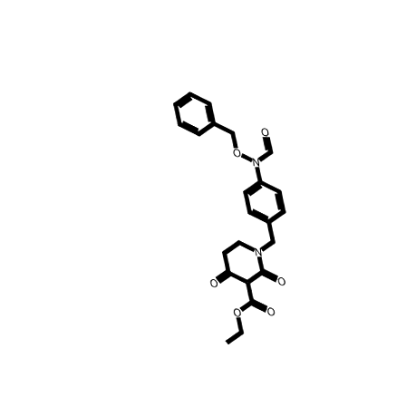 CCOC(=O)C1C(=O)CCN(Cc2ccc(N(C=O)OCc3ccccc3)cc2)C1=O